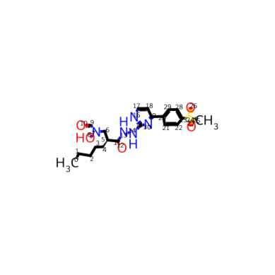 CCCCC[C@@H](CN(O)C=O)C(=O)NNc1nccc(-c2ccc(S(C)(=O)=O)cc2)n1